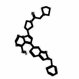 Nc1ncnn2c(C3CCN(C(=O)CN4CCCC4)C3)cc(-c3ccc4cn(Cc5ccccc5)nc4c3)c12